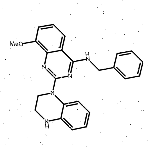 COc1cccc2c(NCc3ccccc3)nc(N3CCNc4ccccc43)nc12